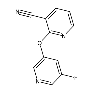 N#Cc1cccnc1Oc1cncc(F)c1